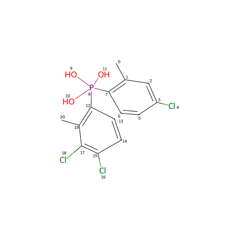 Cc1cc(Cl)ccc1P(O)(O)(O)c1ccc(Cl)c(Cl)c1C